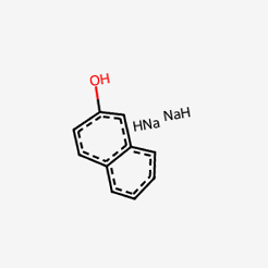 Oc1ccc2ccccc2c1.[NaH].[NaH]